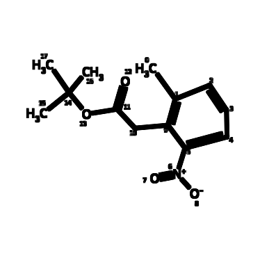 Cc1cccc([N+](=O)[O-])c1CC(=O)OC(C)(C)C